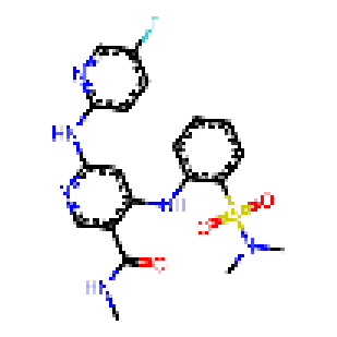 CNC(=O)c1cnc(Nc2ccc(F)cn2)cc1Nc1ccccc1S(=O)(=O)N(C)C